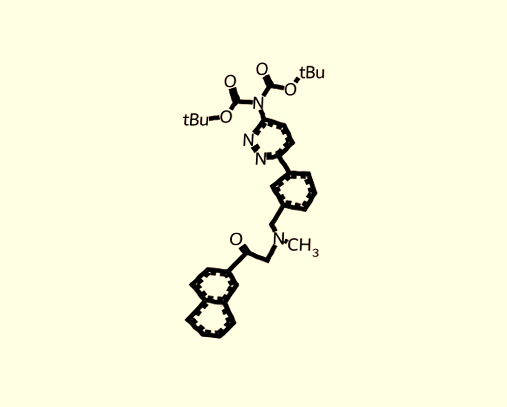 CN(CC(=O)c1ccc2ccccc2c1)Cc1cccc(-c2ccc(N(C(=O)OC(C)(C)C)C(=O)OC(C)(C)C)nn2)c1